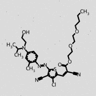 CCCCOCCOCCOC(=O)C(C#N)=Cc1sc(N=Nc2ccc(N(CCO)C(C)C)cc2C)c(C#N)c1Cl